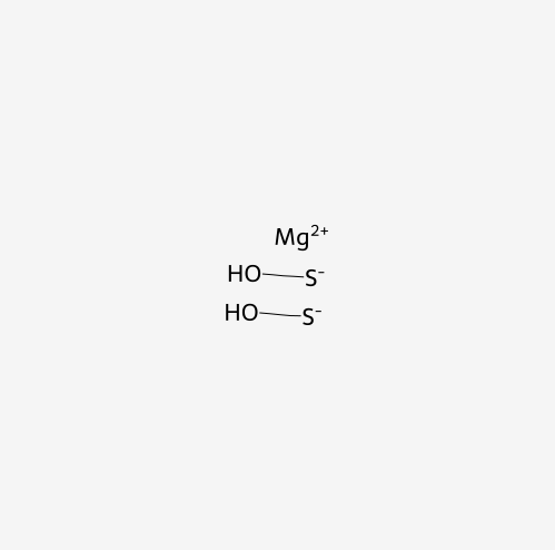 O[S-].O[S-].[Mg+2]